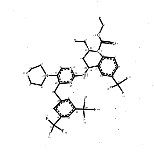 CCOC(=O)N1c2ccc(C(F)(F)F)cc2[C@@H](Nc2ncc(N3CCSCC3)c(Cc3cc(C(F)(F)F)cc(C(F)(F)F)c3)n2)C[C@H]1CC